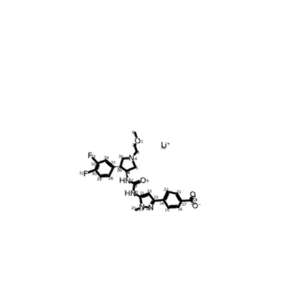 COCCN1C[C@@H](NC(=O)Nc2cc(-c3ccc(C(=O)[O-])cc3)nn2C)[C@H](c2ccc(F)c(F)c2)C1.[Li+]